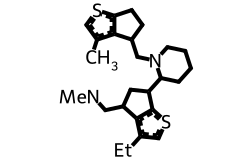 CCc1csc2c1C(CNC)CC2C1CCCCN1CC1CCc2scc(C)c21